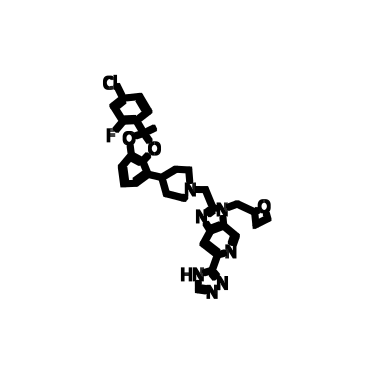 CC1(c2ccc(Cl)cc2F)Oc2cccc(C3CCN(Cc4nc5cc(-c6nnc[nH]6)ncc5n4CC4CCO4)CC3)c2O1